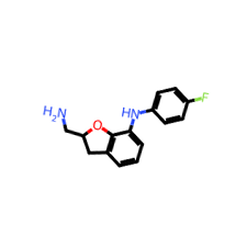 NCC1Cc2cccc(Nc3ccc(F)cc3)c2O1